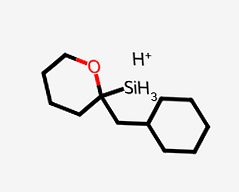 [H+].[SiH3]C1(CC2CCCCC2)CCCCO1